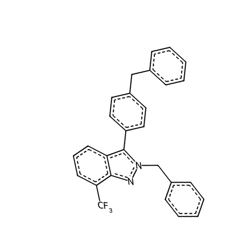 FC(F)(F)c1cccc2c(-c3ccc(Cc4ccccc4)cc3)n(Cc3ccccc3)nc12